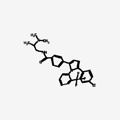 CC(CNC(=O)c1ccc(-c2ccc(-c3ccc(Cl)cc3)n2-c2ccccc2C(F)(F)F)cc1)N(C)C